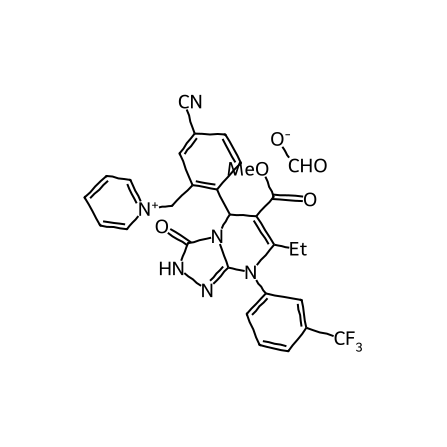 CCC1=C(C(=O)OC)C(c2ccc(C#N)cc2C[n+]2ccccc2)n2c(n[nH]c2=O)N1c1cccc(C(F)(F)F)c1.O=C[O-]